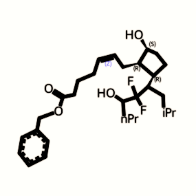 CCCC(O)C(F)(F)C(CC(C)C)[C@@H]1CC[C@H](O)[C@@H]1C/C=C\CCCC(=O)OCc1ccccc1